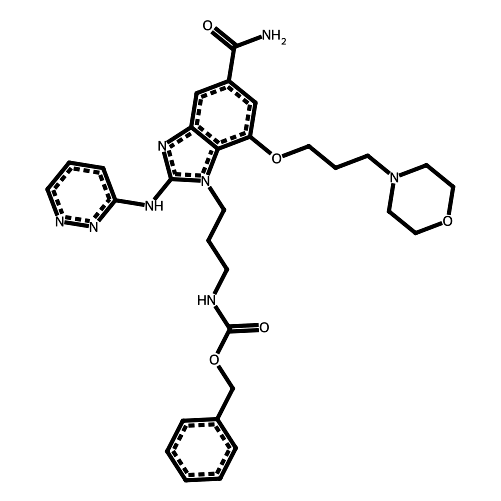 NC(=O)c1cc(OCCCN2CCOCC2)c2c(c1)nc(Nc1cccnn1)n2CCCNC(=O)OCc1ccccc1